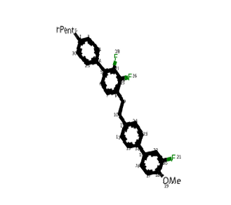 CCCCCc1ccc(-c2ccc(CCc3ccc(-c4ccc(OC)c(F)c4)cc3)c(F)c2F)cc1